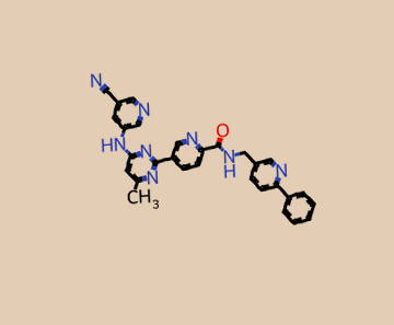 Cc1cc(Nc2cncc(C#N)c2)nc(-c2ccc(C(=O)NCc3ccc(-c4ccccc4)nc3)nc2)n1